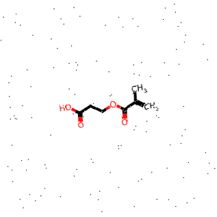 C=C(C)C(=O)OCCC(=O)O